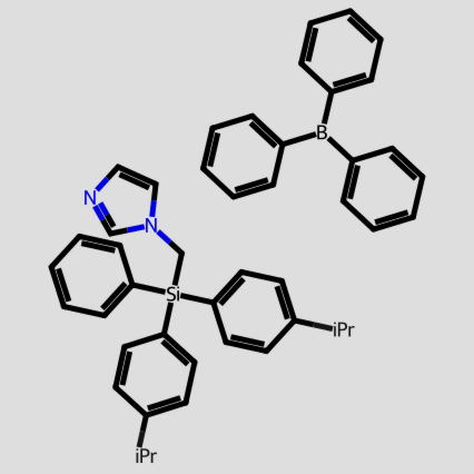 CC(C)c1ccc([Si](Cn2ccnc2)(c2ccccc2)c2ccc(C(C)C)cc2)cc1.c1ccc(B(c2ccccc2)c2ccccc2)cc1